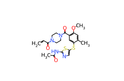 C=CC(=O)N1CCN(C(=O)c2cc(Sc3cnc(NC(C)=O)s3)c(C)cc2OC)CC1